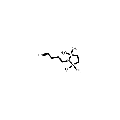 C[Si]1(C)CC[Si](C)(C)N1CCCC=N